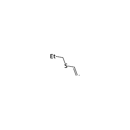 [CH]=CSCCC